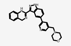 c1ccc2c(c1)CN=C(c1n[nH]c3ccc(-c4cncc(CN5CCOCC5)c4)cc13)N2